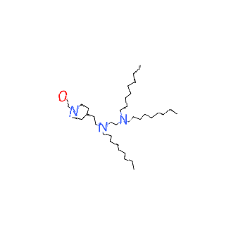 CCCCCCCCCN(CCCCCCCCC)CCN(CCCCCCCCC)CCC1CCN(CC=O)CC1